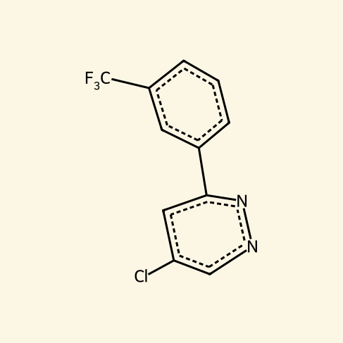 FC(F)(F)c1cccc(-c2cc(Cl)cnn2)c1